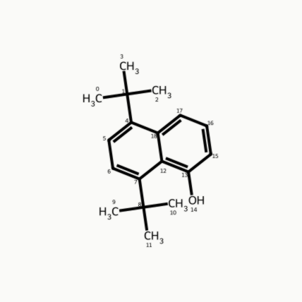 CC(C)(C)c1ccc(C(C)(C)C)c2c(O)cccc12